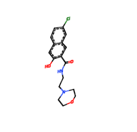 O=C(NCCN1CCOCC1)c1cc2cc(Cl)ccc2cc1O